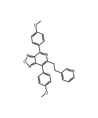 COc1ccc(-c2nc(CCc3cccnc3)c(-c3ccc(OC)cc3)c3nonc23)cc1